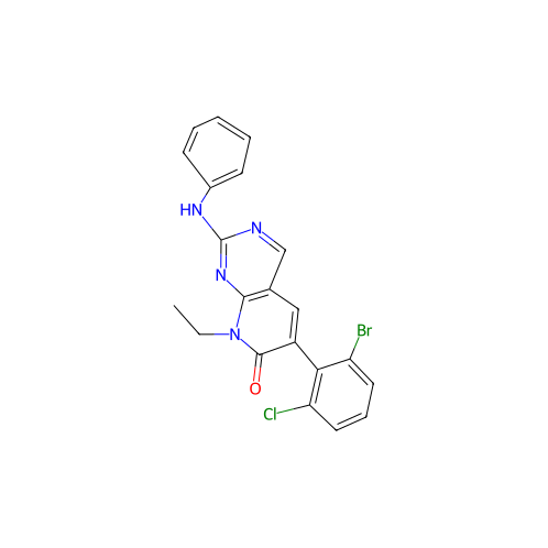 CCn1c(=O)c(-c2c(Cl)cccc2Br)cc2cnc(Nc3ccccc3)nc21